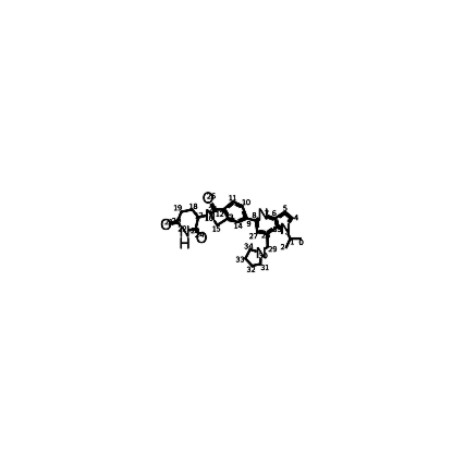 CC(C)n1ccc2nc(-c3ccc4c(c3)CN(C3CCC(=O)NC3=O)C4=O)cc(CN3CCCC3)c21